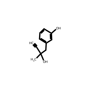 C#CC(C)(O)Cc1cccc(O)c1